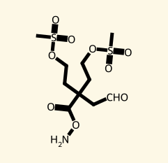 CS(=O)(=O)OCCC(CC=O)(CCOS(C)(=O)=O)C(=O)ON